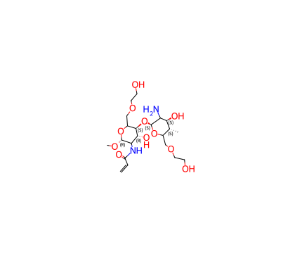 C=CC(=O)NC1[C@H](OC)OC(COCCO)[C@@H](O[C@@H]2OC(COCCO)[C@@H](C)[C@H](O)C2N)[C@@H]1O